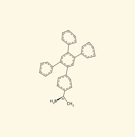 B[C@H](C)c1ccc(-c2cc(-c3ccccc3)c(-c3ccccc3)cc2-c2ccccc2)cc1